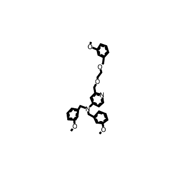 COc1cccc(COCCOCc2cc(N(Cc3cccc(OC)c3)Cc3cccc(OC)c3)ccn2)c1